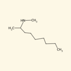 [CH2]C(CCCCCCC)NC